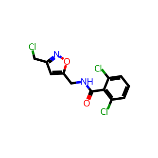 O=C(NCc1cc(CCl)no1)c1c(Cl)cccc1Cl